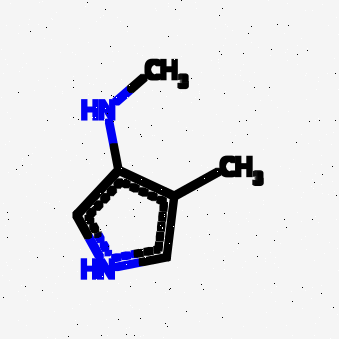 CNc1c[nH]cc1C